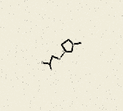 CN1CC[C@H](OCC(F)F)C1